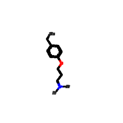 CCN(CC)CCCOc1ccc(CC(C)(C)C)cc1